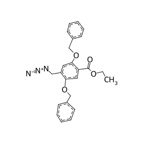 CCOC(=O)c1cc(OCc2ccccc2)c(CN=[N+]=[N-])cc1OCc1ccccc1